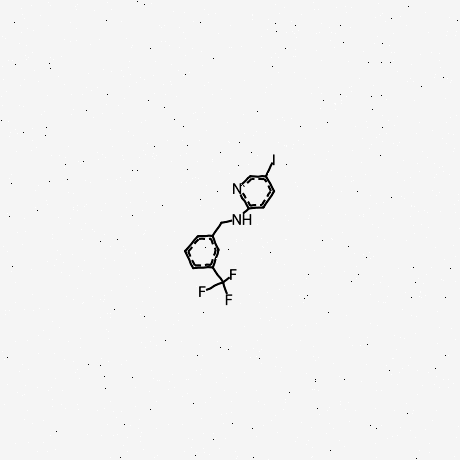 FC(F)(F)c1cccc(CNc2ccc(I)cn2)c1